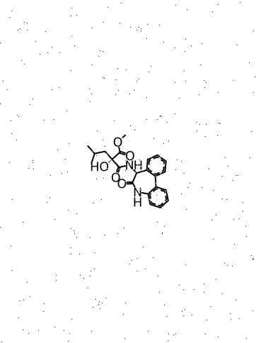 COC(=O)[C@](O)(CC(C)C)C(=O)N[C@@H]1C(=O)Nc2ccccc2-c2ccccc21